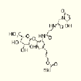 CC(C)(C)C(=O)OC/C=C/c1ccc(O[C@@H]2O[C@H](C(=O)O)[C@@H](O)[C@H](O)[C@H]2O)c(NC(=O)CCNC(=O)CN2C(=O)C=CC2O)c1